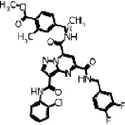 COC(=O)c1ccc([C@H](C)NC(=O)c2cc(C(=O)NCc3ccc(F)c(F)c3)nc3c(C(=O)Nc4ccccc4Cl)cnn23)cc1C